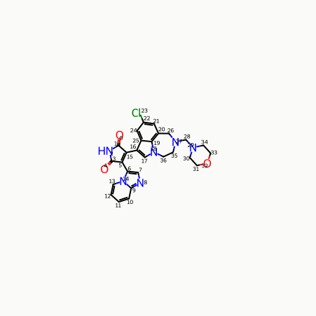 O=C1NC(=O)C(c2cnc3ccccn23)=C1c1cn2c3c(cc(Cl)cc13)CN(CN1CCOCC1)CC2